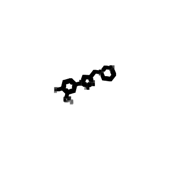 Fc1ccc(-n2cc(CN3C=CC=NC3)nn2)cc1C(F)(F)F